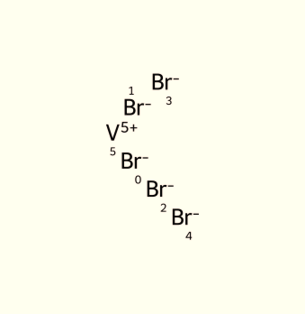 [Br-].[Br-].[Br-].[Br-].[Br-].[V+5]